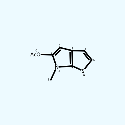 CC(=O)Oc1cc2ccsc2n1C